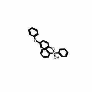 O[Si](Oc1ccc(Oc2ccccc2)cc1)(c1ccccc1)c1ccccc1